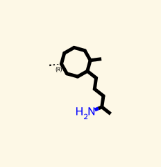 CC(N)CCCC1CC[C@H](C)CCCC1C